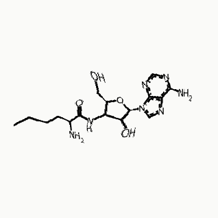 CCCCC(N)C(=O)NC1C(O)[C@H](n2cnc3c(N)ncnc32)O[C@@H]1CO